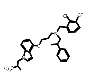 CC(Cn1ccc2c(OCCCN(Cc3cccc(C(F)(F)F)c3Cl)CC(C)c3ccccc3)cccc21)C(=O)O